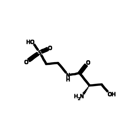 N[C@@H](CO)C(=O)NCCS(=O)(=O)O